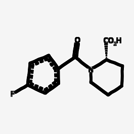 O=C(O)[C@@H]1CCCCN1C(=O)c1ccc(F)cc1